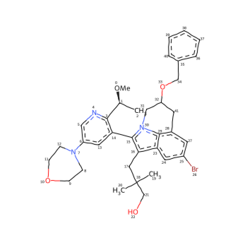 CO[C@@H](C)c1ncc(N2CCOCC2)cc1-c1c(CC(C)(C)CO)c2cc(Br)cc3c2n1CC(OCc1ccccc1)C3